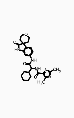 Cc1nc(C(=O)N[C@H](C(=O)Nc2ccc3c(c2)NC(=O)C32CCOCC2)C2CCCCC2)c(C)s1